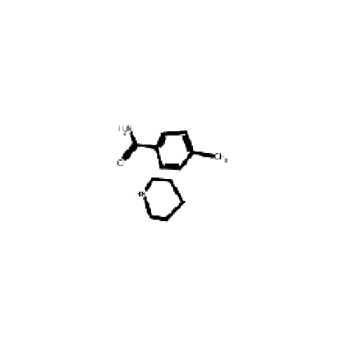 C1CCNCC1.Cc1ccc(C(N)=O)cc1